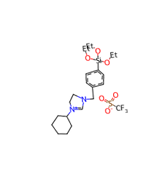 CCO[Si](OCC)(OCC)c1ccc(CN2C=[N+](C3CCCCC3)CC2)cc1.O=S(=O)([O-])C(F)(F)F